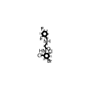 O=C(CCNCc1ccc(F)cc1F)Nc1c(Cl)cc(Br)cc1Cl